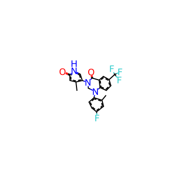 Cc1cc(=O)[nH]cc1N1CN(c2ccc(F)cc2C)c2ccc(C(F)(F)F)cc2C1=O